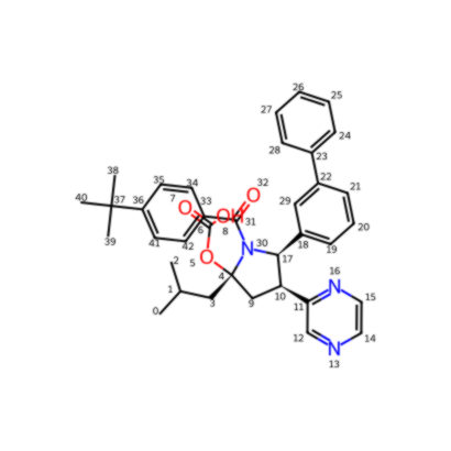 CC(C)C[C@]1(OC(=O)O)C[C@H](c2cnccn2)[C@H](c2cccc(-c3ccccc3)c2)N1C(=O)c1ccc(C(C)(C)C)cc1